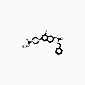 CC(C)(C)OC(=O)N1CCN(c2cc(F)c3c(c2)CCC(NC(=O)OCc2ccccc2)C3)CC1